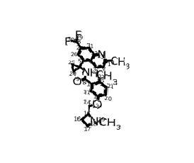 Cc1ccc2c(C3(NC(=O)c4cc(OC[C@@H]5CCN5C)ccc4C)CC3)cc(C(F)F)cc2n1